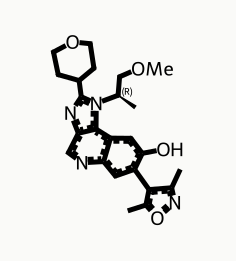 COC[C@@H](C)n1c(C2CCOCC2)nc2cnc3cc(-c4c(C)noc4C)c(O)cc3c21